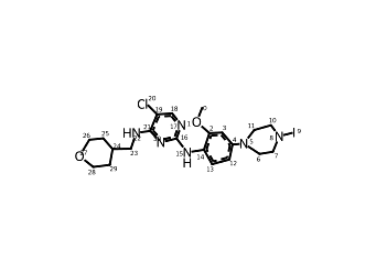 COc1cc(N2CCN(I)CC2)ccc1Nc1ncc(Cl)c(NCC2CCOCC2)n1